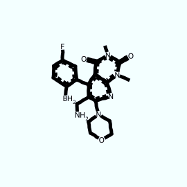 Bc1ccc(F)cc1-c1c(CN)c(N2CCOCC2)nc2c1c(=O)n(C)c(=O)n2C